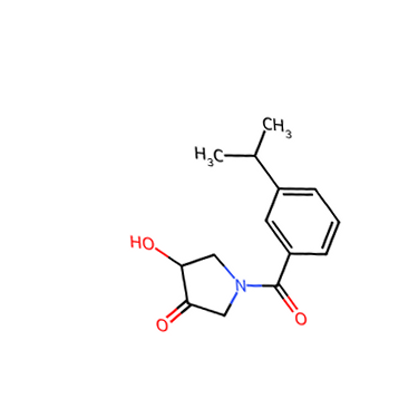 CC(C)c1cccc(C(=O)N2CC(=O)C(O)C2)c1